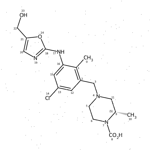 Cc1c(CN2CCN(C(=O)O)[C@@H](C)C2)cc(Cl)cc1Nc1ncc(CO)o1